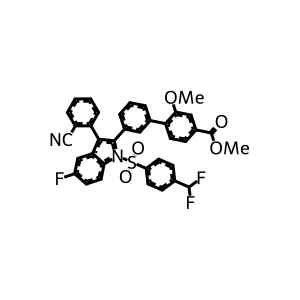 COC(=O)c1ccc(-c2cccc(-c3c(-c4ccccc4C#N)c4cc(F)ccc4n3S(=O)(=O)c3ccc(C(F)F)cc3)c2)c(OC)c1